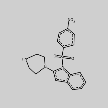 O=[N+]([O-])c1ccc(S(=O)(=O)n2c(N3CCNCC3)cc3ccccc32)cc1